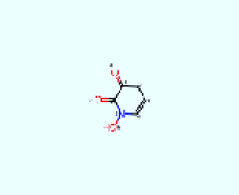 O=C1CC=CN(O)C1=O